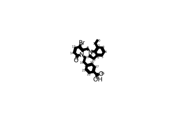 CCc1cccc2c1N(Cc1c(Br)ccc(=O)n1CCc1ccc(C(=O)O)cc1)CC2